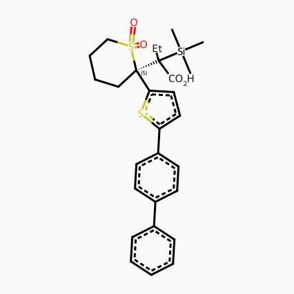 CCC(C(=O)O)([C@]1(c2ccc(-c3ccc(-c4ccccc4)cc3)s2)CCCCS1(=O)=O)[Si](C)(C)C